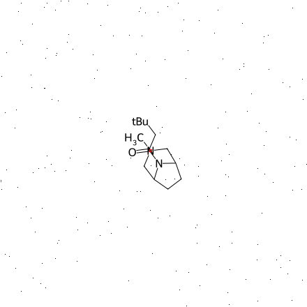 CN1CC2CCC(C1)N2C(=O)CC(C)(C)C